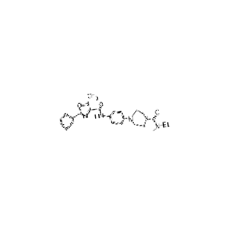 CCN(C)C(=O)N1CCN(c2ccc(NC(=O)c3nc(-c4ccccc4)oc3C(F)(F)F)cc2)CC1